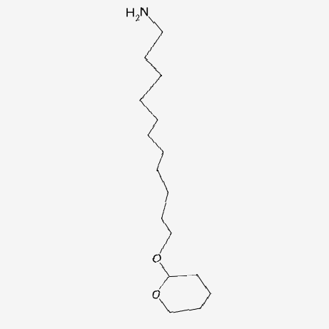 NCCCCCCCCCCCOC1CCCCO1